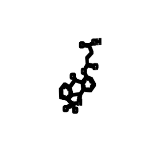 O=C(O)CCC(=O)Oc1cccc2c1C(=O)c1cccc3c1C2=NS3(=O)=O